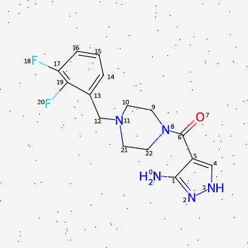 Nc1n[nH]cc1C(=O)N1CCN(Cc2cccc(F)c2F)CC1